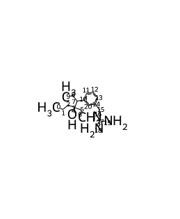 CCCC(O)(CC)C(CC)c1cccc(CN=C(N)N)c1